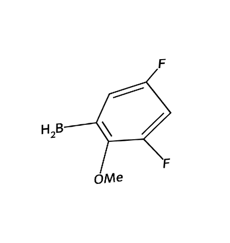 Bc1cc(F)cc(F)c1OC